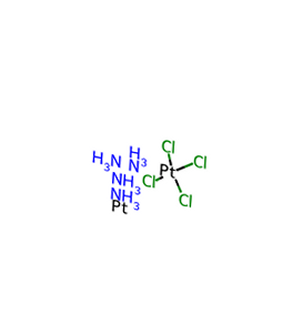 N.N.N.N.[Cl][Pt]([Cl])([Cl])[Cl].[Pt]